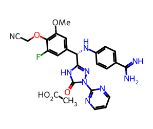 CC(=O)O.COc1cc([C@H](Nc2ccc(C(=N)N)cc2)c2nn(-c3ncccn3)c(=O)[nH]2)cc(F)c1OCC#N